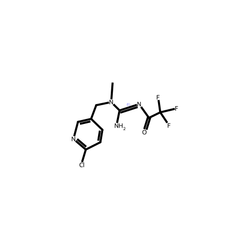 CN(Cc1ccc(Cl)nc1)/C(N)=N/C(=O)C(F)(F)F